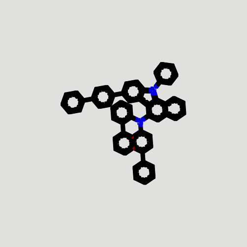 c1ccc(-c2ccc(-c3ccc4c(c3)c3c(N(c5ccc(-c6ccccc6)cc5)c5ccccc5-c5ccccc5)cc5ccccc5c3n4-c3ccccc3)cc2)cc1